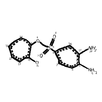 Nc1ccc(S(=O)(=O)Oc2ccccc2Cl)cc1N